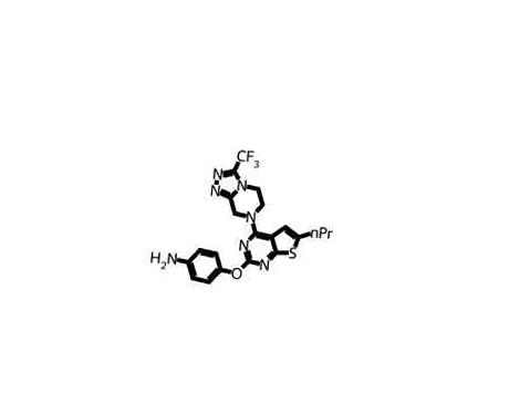 CCCc1cc2c(N3CCn4c(nnc4C(F)(F)F)C3)nc(Oc3ccc(N)cc3)nc2s1